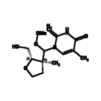 C=C1NC(=O)C(C)=CN1C(OOC)[C@@]1(C)CCO[C@@H]1CO